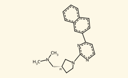 CN(C)C[C@H]1CCN(c2nccc(-c3ccc4ccccc4c3)n2)C1